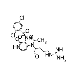 CC(=O)N(c1cc[nH]c(=O)c1NS(=O)(=O)c1cc(Cl)ccc1Cl)[C@H](C=O)CCCNC(=N)N